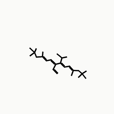 C=CC(=C\C=C(/C)CC(C)(C)C)/C(=C/C=C(\C)CC(C)(C)C)C(C)C